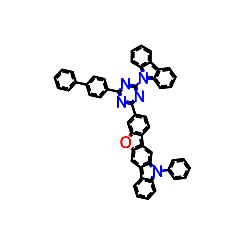 c1ccc(-c2ccc(-c3nc(-c4ccc5c(c4)oc4cc6c7ccccc7n(-c7ccccc7)c6cc45)nc(-n4c5ccccc5c5ccccc54)n3)cc2)cc1